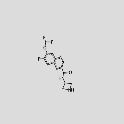 O=C(NC1CNC1)c1cnc2cc(OC(F)F)c(F)cc2c1